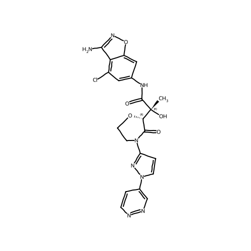 C[C@](O)(C(=O)Nc1cc(Cl)c2c(N)noc2c1)[C@H]1OCCN(c2ccn(-c3ccnnc3)n2)C1=O